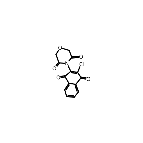 O=C1C(Cl)=C(N2C(=O)COCC2=O)C(=O)c2ccccc21